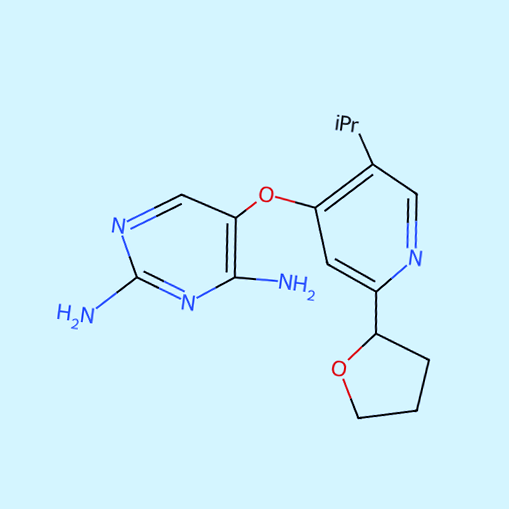 CC(C)c1cnc(C2CCCO2)cc1Oc1cnc(N)nc1N